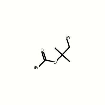 CC(C)CC(C)(C)OC(=O)C(C)C